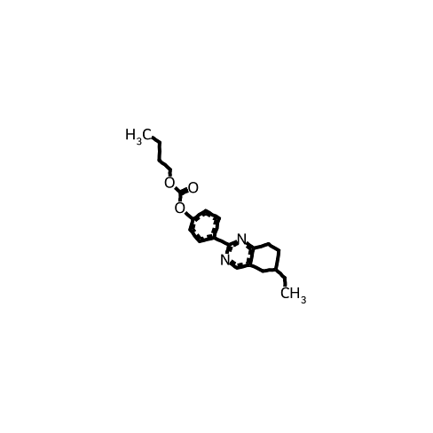 CCCCOC(=O)Oc1ccc(-c2ncc3c(n2)CCC(CC)C3)cc1